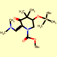 CN(C)/C=C1\C(=O)C(C)(C)C(O[Si](C)(C)C(C)(C)C)CN1C(=O)OC(C)(C)C